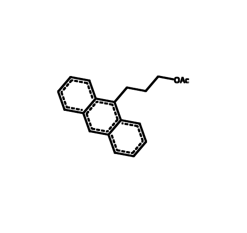 CC(=O)OCCCc1c2ccccc2cc2ccccc12